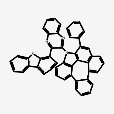 c1ccc(-c2cc3cccc4c3c3c5c(cccc5n(-c5nc6ccccc6nc5-c5cccc6c5sc5ccccc56)c23)-c2ccccc2-4)cc1